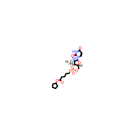 C[C@@]1(N)[C@@H]2O[P@@](=O)(OCCCCC(=O)OC3CCCC3)OC[C@H]2O[C@H]1n1ccc(=O)[nH]c1=O